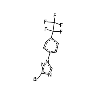 FC(F)(F)C(F)(F)c1ccc(-n2cnc(Br)n2)cc1